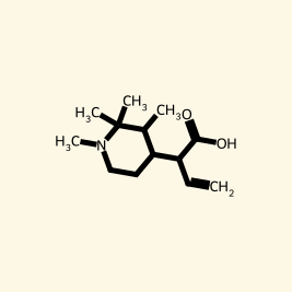 C=CC(C(=O)O)C1CCN(C)C(C)(C)C1C